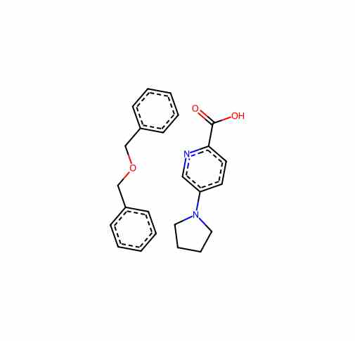 O=C(O)c1ccc(N2CCCC2)cn1.c1ccc(COCc2ccccc2)cc1